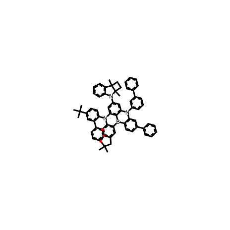 CC1(C)Cc2cc3c(cc2C1)N(c1ccc(C(C)(C)C)cc1-c1ccccc1)c1cc(N2c4ccccc4C4(C)CCC24C)cc2c1B3c1ccc(-c3ccccc3)cc1N2c1cccc(-c2ccccc2)c1